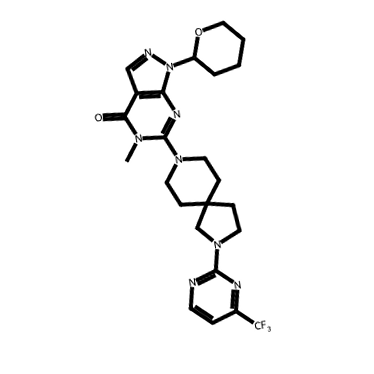 Cn1c(N2CCC3(CCN(c4nccc(C(F)(F)F)n4)C3)CC2)nc2c(cnn2C2CCCCO2)c1=O